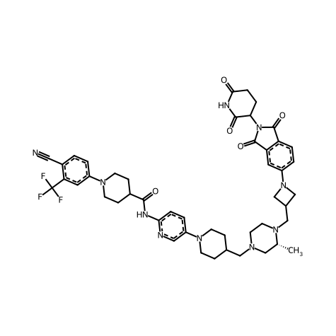 C[C@@H]1CN(CC2CCN(c3ccc(NC(=O)C4CCN(c5ccc(C#N)c(C(F)(F)F)c5)CC4)nc3)CC2)CCN1CC1CN(c2ccc3c(c2)C(=O)N(C2CCC(=O)NC2=O)C3=O)C1